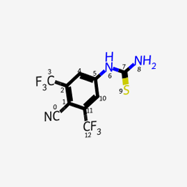 N#Cc1c(C(F)(F)F)cc(NC(N)=S)cc1C(F)(F)F